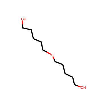 OCCCCCOCCCCCO